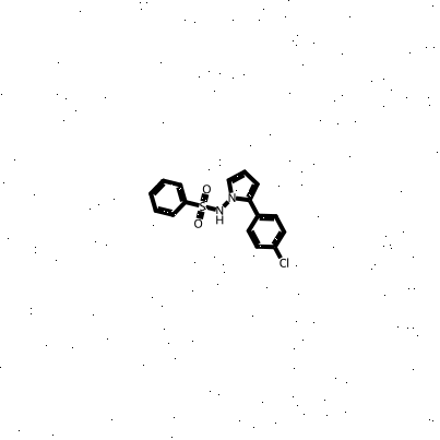 O=S(=O)(Nn1cccc1-c1ccc(Cl)cc1)c1ccccc1